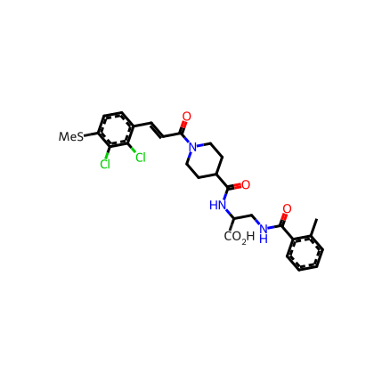 CSc1ccc(C=CC(=O)N2CCC(C(=O)NC(CNC(=O)c3ccccc3C)C(=O)O)CC2)c(Cl)c1Cl